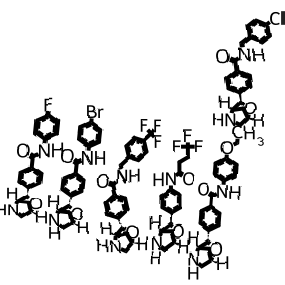 CCOc1ccc(NC(=O)c2ccc([C@@H]3O[C@H]4CN[C@@H]3C4)cc2)cc1.O=C(CCC(F)(F)F)Nc1ccc([C@H]2O[C@@H]3CN[C@H]2C3)cc1.O=C(NCc1ccc(C(F)(F)F)cc1)c1ccc([C@@H]2O[C@H]3CN[C@@H]2C3)cc1.O=C(NCc1ccc(Cl)cc1)c1ccc([C@H]2O[C@@H]3CN[C@H]2C3)cc1.O=C(Nc1ccc(Br)cc1)c1ccc([C@@H]2O[C@H]3CN[C@@H]2C3)cc1.O=C(Nc1ccc(F)cc1)c1ccc([C@@H]2O[C@H]3CN[C@@H]2C3)cc1